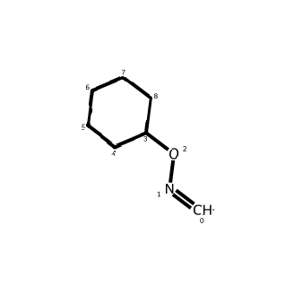 [CH]=NOC1CCCCC1